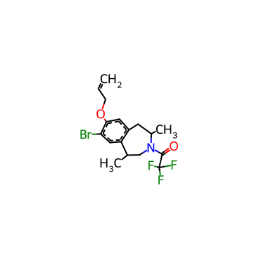 C=CCOc1cc2c(cc1Br)C(C)CN(C(=O)C(F)(F)F)C(C)C2